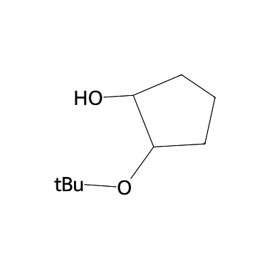 CC(C)(C)OC1CCCC1O